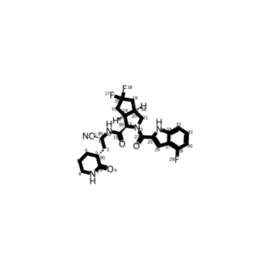 N#C[C@@H](C[C@H]1CCCNC1=O)NC(=O)[C@H]1[C@H]2CC(F)(F)C[C@H]2CN1C(=O)c1cc2c(F)cccc2[nH]1